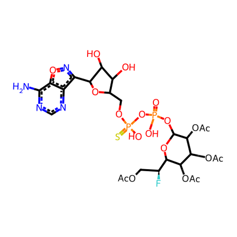 CC(=O)OC[C@H](F)C1OC(OP(=O)(O)OP(O)(=S)OCC2OC(c3noc4c(N)ncnc34)C(O)C2O)C(OC(C)=O)C(OC(C)=O)C1OC(C)=O